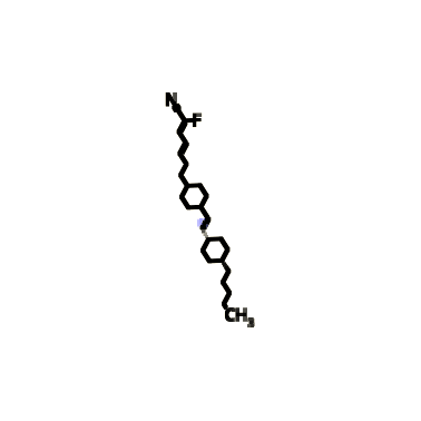 CCCCC[C@H]1CC[C@H](/C=C/C2CCC(CCC=CC=C(F)C#N)CC2)CC1